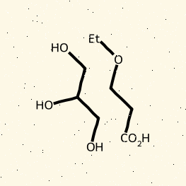 CCOCCC(=O)O.OCC(O)CO